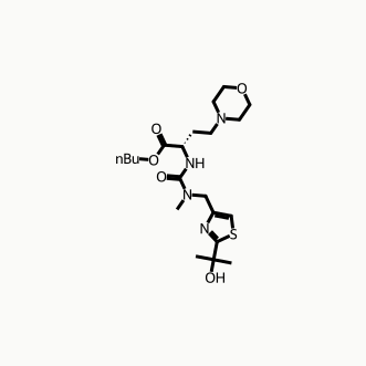 CCCCOC(=O)[C@H](CCN1CCOCC1)NC(=O)N(C)Cc1csc(C(C)(C)O)n1